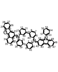 c1ccc(N(c2cccc(-c3cccc(N(c4ccccc4)c4cc5c6ccccc6oc5c5ccccc45)c3)c2)c2ccc3c4ccccc4n(-c4ccccc4)c3c2)cc1